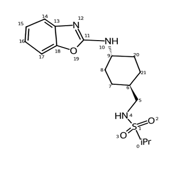 CC(C)S(=O)(=O)NC[C@H]1CC[C@H](Nc2nc3ccccc3o2)CC1